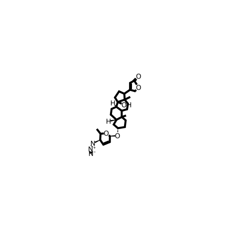 CC1O[C@@H](O[C@H]2CCC3(C)C4CCC5(C)C(C6=CC(=O)OC6)CCC5(O)[C@@H]4CC[C@H]3C2)C=C[C@H]1N=[N+]=[N-]